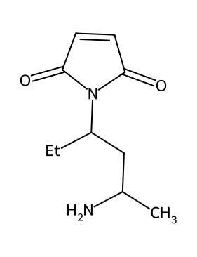 CCC(CC(C)N)N1C(=O)C=CC1=O